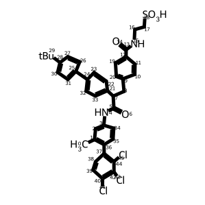 Cc1cc(NC(=O)C(Cc2ccc(C(=O)NCCS(=O)(=O)O)cc2)c2ccc(-c3ccc(C(C)(C)C)cc3)cc2)ccc1-c1ccc(Cl)c(Cl)c1Cl